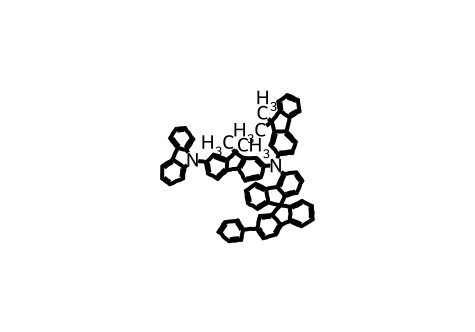 CC1(C)c2ccccc2-c2ccc(N(c3ccc4c(c3)C(C)(C)c3cc(-n5c6ccccc6c6ccccc65)ccc3-4)c3cccc4c3-c3ccccc3C43c4ccccc4-c4ccc(-c5ccccc5)cc43)cc21